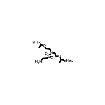 CCCCCCC(C)OCCN(CCOC(C)CCCCCC)S(=O)(=O)CCN